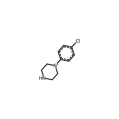 Clc1ccc([N+]2CCNCC2)cc1